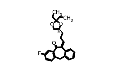 CCC1(CC)OC[C@H](CCC=C2C(=O)c3cc(F)ccc3Cc3ccccc32)O1